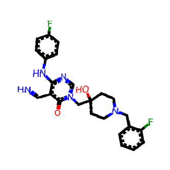 N=Cc1c(Nc2ccc(F)cc2)ncn(CC2(O)CCN(Cc3ccccc3F)CC2)c1=O